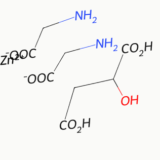 NCC(=O)[O-].NCC(=O)[O-].O=C(O)CC(O)C(=O)O.[Zn+2]